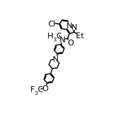 CCc1nn2ccc(Cl)cc2c1C(=O)N(C)c1ccc(N2CCC(c3ccc(OC(F)(F)F)cc3)CC2)cc1